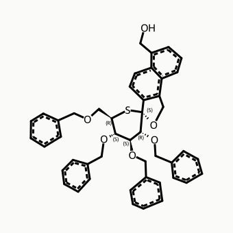 OCc1cccc2c3c(ccc12)[C@]1(OC3)S[C@H](COCc2ccccc2)[C@@H](OCc2ccccc2)[C@H](OCc2ccccc2)[C@H]1OCc1ccccc1